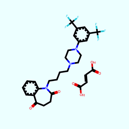 O=C(O)C=CC(=O)O.O=C1CCC(=O)N(CCCCN2CCN(c3cc(C(F)(F)F)cc(C(F)(F)F)c3)CC2)c2ccccc21